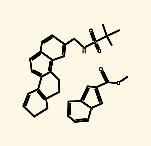 CC(C)(C)S(=O)(=O)NCc1ccc2ccc3c(c2c1)CCC1=C3C=CCC1.COC(=O)c1cc2ccccn2c1